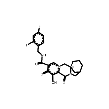 O=C(NCc1ccc(F)cc1F)c1cn2c(c(O)c1=O)C(=O)N1CC3CCC[C@]1(C3)C2